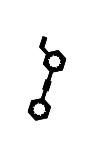 C=Cc1cccc(C#Cc2ccccc2)c1